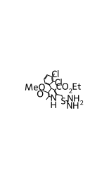 CCOC(=O)C1=C(CSC(=N)N)NC(C)=C(C(=O)OC)C1c1cccc(Cl)c1Cl